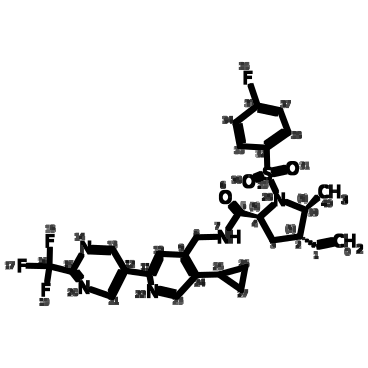 C=C[C@@H]1C[C@@H](C(=O)NCc2cc(-c3cnc(C(F)(F)F)nc3)ncc2C2CC2)N(S(=O)(=O)c2ccc(F)cc2)[C@H]1C